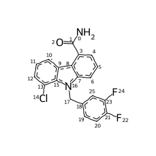 NC(=O)c1cccc2c1c1[c]ccc(Cl)c1n2Cc1ccc(F)c(F)c1